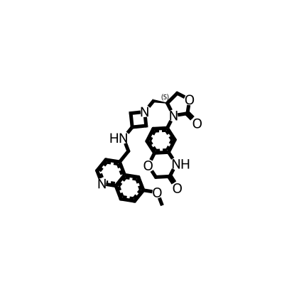 COc1ccc2nccc(CNC3CN(C[C@H]4COC(=O)N4c4ccc5c(c4)NC(=O)CO5)C3)c2c1